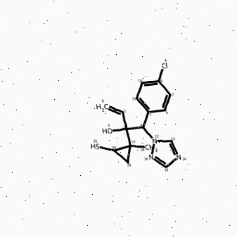 C=CC(O)(C(c1ccc(Cl)cc1)n1cncn1)C1(C)CC1S